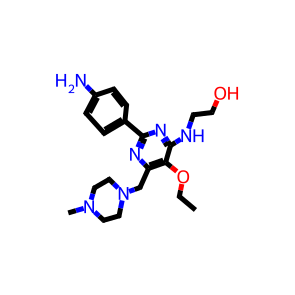 CCOc1c(CN2CCN(C)CC2)nc(-c2ccc(N)cc2)nc1NCCO